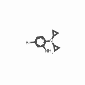 Nc1cc(Br)ccc1N(C1CC1)C1CC1